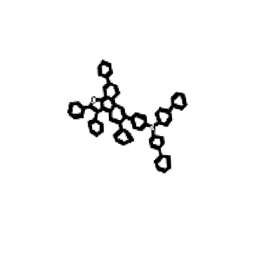 c1ccc(-c2ccc(N(c3ccc(-c4ccccc4)cc3)c3ccc(-c4cc5c6ccc(-c7ccccc7)cc6c6oc(-c7ccccc7)c(-c7ccccc7)c6c5cc4-c4ccccc4)cc3)cc2)cc1